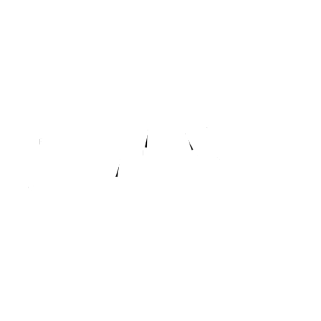 CCCCCC(=O)O[C@]1(C(=O)CCl)[C@@H](C)C[C@H]2[C@@H]3CCC4=C(F)C(=O)C=C[C@]4(C)[C@H]3[C@@H](O)C[C@@]21C